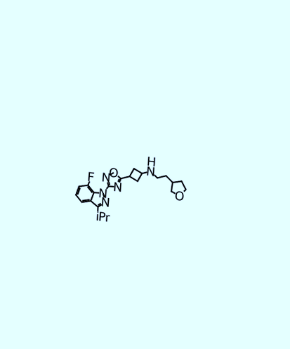 CC(C)c1nn(-c2noc(C3CC(NCCC4CCOC4)C3)n2)c2c(F)cccc12